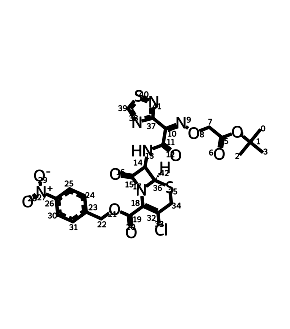 CC(C)(C)OC(=O)CO/N=C(\C(=O)NC1C(=O)N2C(C(=O)OCc3ccc([N+](=O)[O-])cc3)=C(Cl)CS[C@H]12)c1ncsn1